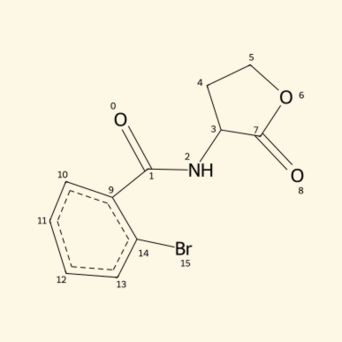 O=C(NC1CCOC1=O)c1ccccc1Br